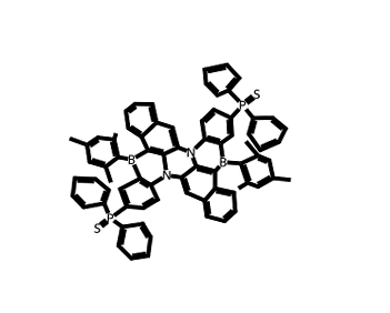 Cc1cc(C)c(B2c3cc(P(=S)(c4ccccc4)c4ccccc4)ccc3N3c4cc5ccccc5c5c4N(c4ccc(P(=S)(c6ccccc6)c6ccccc6)cc4B5c4c(C)cc(C)cc4C)c4cc5ccccc5c2c43)c(C)c1